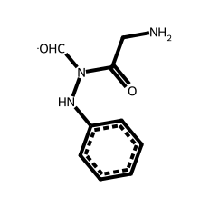 NCC(=O)N([C]=O)Nc1ccccc1